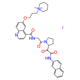 C[N+]1(CCCOc2ccc3nccc(C(=O)NCC(=O)N4CCCC4C(=O)C(=O)Nc4ccc5ccccc5c4)c3c2)CCCCC1.[I-]